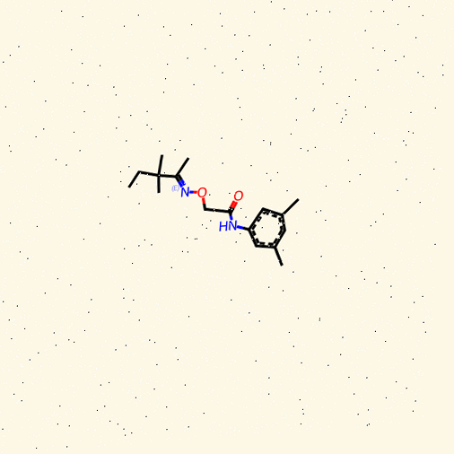 CCC(C)(C)/C(C)=N/OCC(=O)Nc1cc(C)cc(C)c1